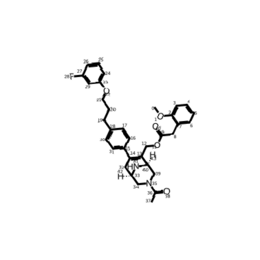 COc1ccccc1CC(=O)OCC1=C(c2ccc(CCCOc3cccc(F)c3)cc2)C[C@@H]2CN(C(C)=O)C[C@H]1N2